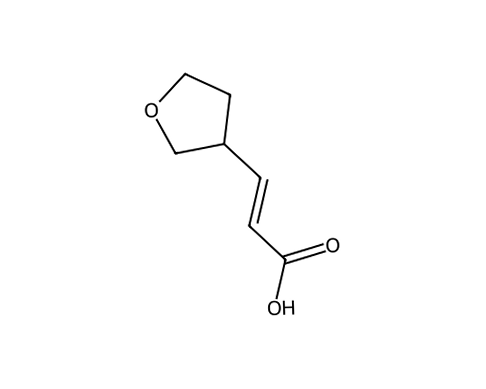 O=C(O)C=CC1CCOC1